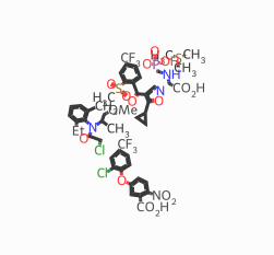 CCc1cccc(C)c1N(C(=O)CCl)C(C)COC.CS(=O)(=O)c1cc(C(F)(F)F)ccc1C(=O)c1cnoc1C1CC1.C[S+](C)C.O=C(O)CNCP(=O)([O-])O.O=C(O)c1cc(Oc2ccc(C(F)(F)F)cc2Cl)ccc1[N+](=O)[O-]